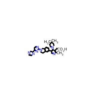 Cc1ncc(-c2ccc3c(c2)CCN(c2nccc(-c4cnccn4)n2)C3)c(N2CCC(C)(C)CC2)c1CC(=O)O